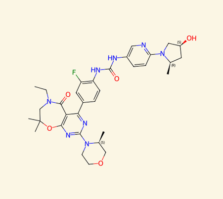 CCN1CC(C)(C)Oc2nc(N3CCOC[C@@H]3C)nc(-c3ccc(NC(=O)Nc4ccc(N5C[C@@H](O)C[C@H]5C)nc4)c(F)c3)c2C1=O